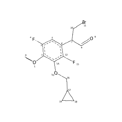 COc1c(F)cc(C(C=O)CBr)c(F)c1OCC1CC1